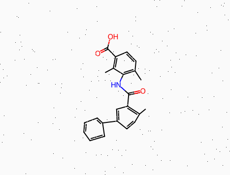 Cc1ccc(-c2ccccc2)cc1C(=O)Nc1c(C)ccc(C(=O)O)c1C